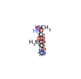 CNS(=O)(=O)Nc1cccc(Oc2c(C)c3ccc(Oc4ncccn4)cc3oc2=O)c1